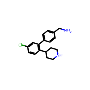 NCc1ccc(-c2cc(Cl)ccc2C2CCNCC2)cc1